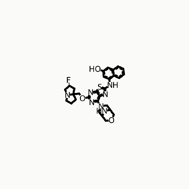 Oc1cc(Nc2nc3c(N4CC5COCC(C4)N5)nc(OCC45CCCN4C[C@H](F)C5)nc3s2)c2ccccc2c1